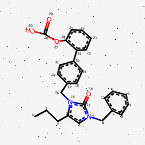 CCCc1cn(Cc2ccccc2)c(=O)n1Cc1ccc(-c2ccccc2OC(=O)O)cc1